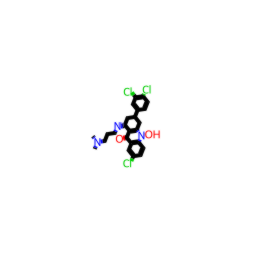 CN(C)CCC/N=C1/CC(c2ccc(Cl)c(Cl)c2)Cc2c1c(=O)c1cc(Cl)ccc1n2O